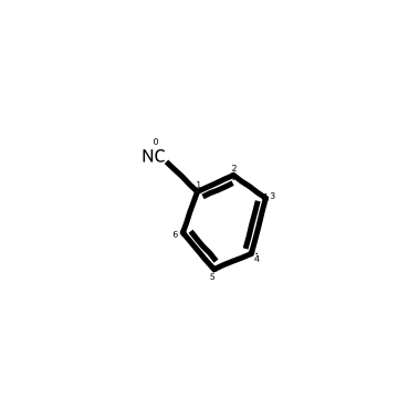 N#Cc1[c][c][c]cc1